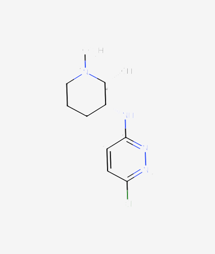 C[C@@H]1[C@H](Nc2ccc(Cl)nn2)CCCN1C(=O)O